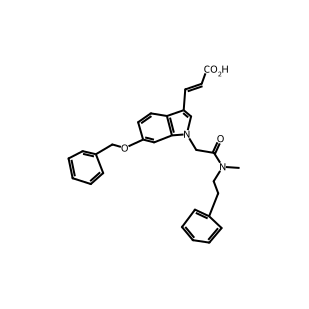 CN(CCc1ccccc1)C(=O)Cn1cc(/C=C/C(=O)O)c2ccc(OCc3ccccc3)cc21